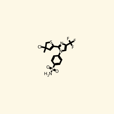 CC1(Cl)C=C(c2nc(C(F)(F)F)cn2-c2ccc(S(N)(=O)=O)cc2)SC1